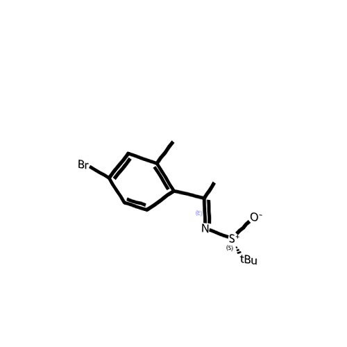 C/C(=N\[S@+]([O-])C(C)(C)C)c1ccc(Br)cc1C